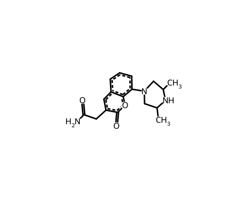 CC1CN(c2cccc3cc(CC(N)=O)c(=O)oc23)CC(C)N1